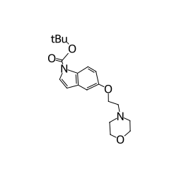 CC(C)(C)OC(=O)n1ccc2cc(OCCN3CCOCC3)ccc21